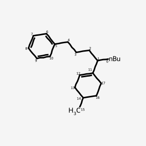 CCCCC(CCCc1ccccc1)C1=CCC(C)CC1